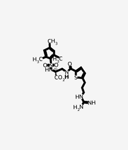 Cc1cc(C)c(S(=O)(=O)N[C@@H](CNC(=O)c2ccc(CCCNC(=N)N)s2)C(=O)O)c(C)c1